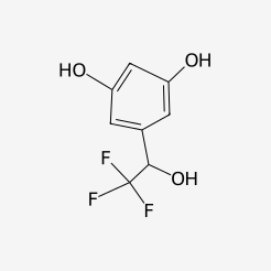 Oc1cc(O)cc(C(O)C(F)(F)F)c1